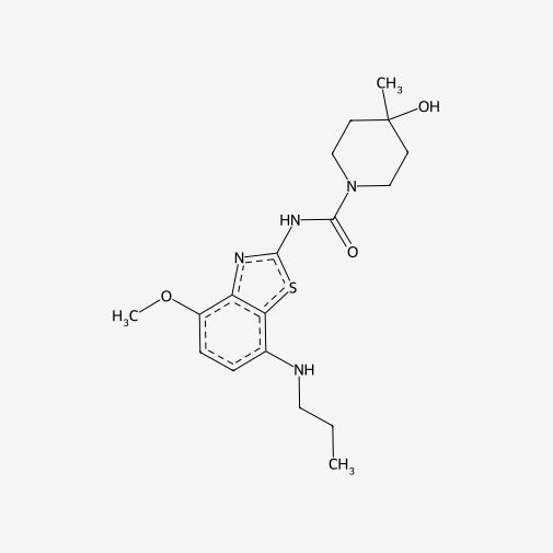 CCCNc1ccc(OC)c2nc(NC(=O)N3CCC(C)(O)CC3)sc12